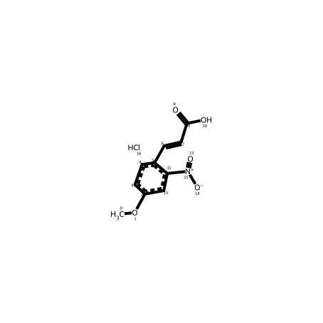 COc1ccc(C=CC(=O)O)c([N+](=O)[O-])c1.Cl